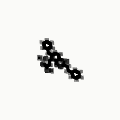 C[C@@H](CC(=O)O)n1c(Cc2ccccc2)ccc(NC(=O)CCc2ccccc2)c1=O